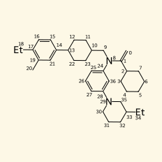 C=C(C1CCCCC1)N(CC1CCC(c2ccc(CC)c(C)c2)CC1)c1cccc(N2CCCC(CC)C2)c1